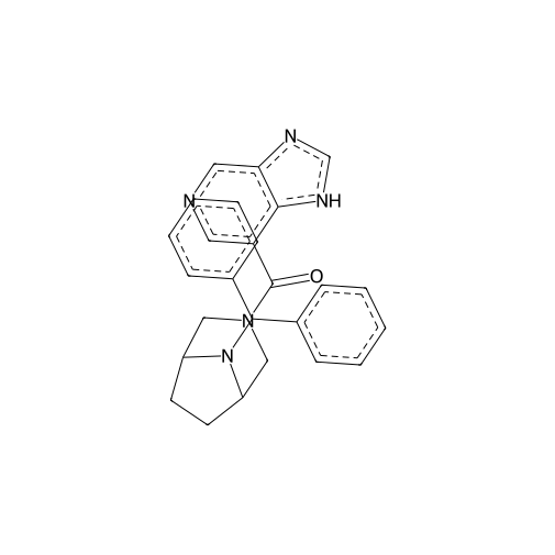 O=C(c1cncc2nc[nH]c12)N1CC2CCC(C1)N2C(c1ccccc1)c1ccccc1